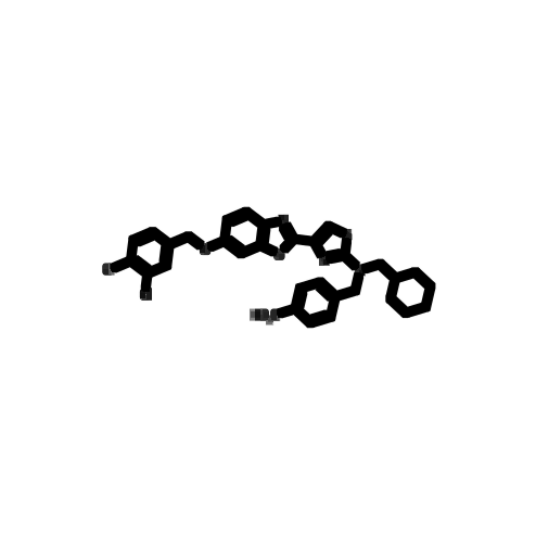 O=C(O)c1ccc(CN(CC2CCCCC2)c2nc(-c3nc4ccc(OCc5ccc(Cl)c(Cl)c5)cc4o3)cs2)cc1